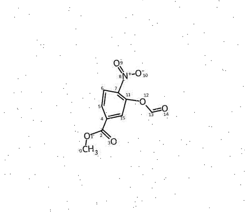 COC(=O)c1ccc([N+](=O)[O-])c(OC=O)c1